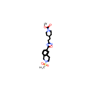 CC(C)OC(=O)N1CCC(CCc2noc(-c3ccc4c(c3)CCN(S(C)(=O)=O)C4)n2)CC1